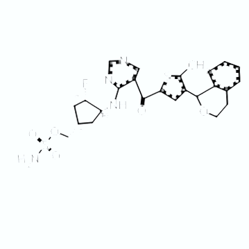 Cc1sc(C(=O)c2cncnc2N[C@@H]2C[C@H](COS(N)(=O)=O)C[C@@H]2F)cc1C1OCCc2ccccc21